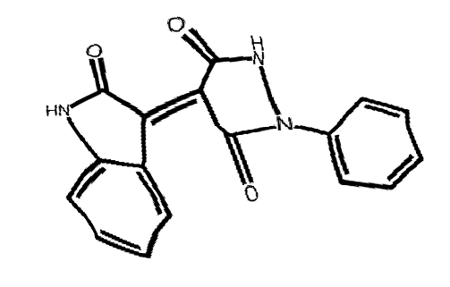 O=C1NN(c2ccccc2)C(=O)/C1=C1/C(=O)Nc2ccccc21